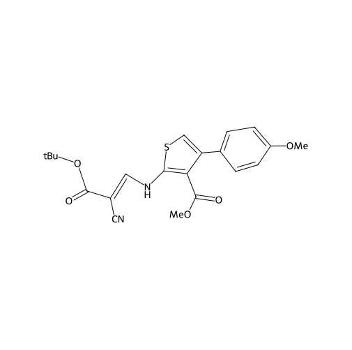 COC(=O)c1c(-c2ccc(OC)cc2)csc1N/C=C(\C#N)C(=O)OC(C)(C)C